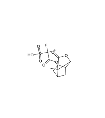 CC1(OC(=O)C(F)(F)S(=O)(=O)O)C2CC3C(=O)OC1C3C2